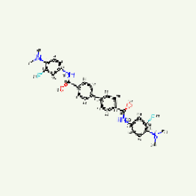 CN(C)c1ccc(NC(=O)c2ccc(-c3ccc(C(=O)Nc4ccc(N(C)C)c(F)c4)cc3)cc2)cc1F